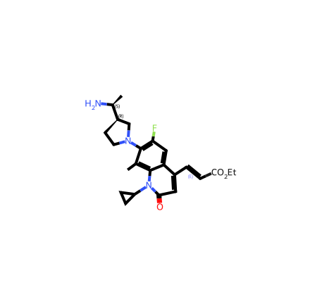 CCOC(=O)/C=C/c1cc(=O)n(C2CC2)c2c(C)c(N3CC[C@@H]([C@H](C)N)C3)c(F)cc12